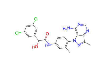 Cc1cc(NC(=O)C(O)c2cc(Cl)cc(Cl)c2)ccc1-n1nc(C)c2ncnc(N)c21